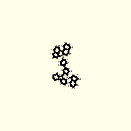 CC12c3ccccc3-c3cccc(c31)N(c1cccc3ccccc13)c1ccc(-c3ccc(N(c4ccc5ccccc5c4)c4cccc5ccccc45)cc3)cc12